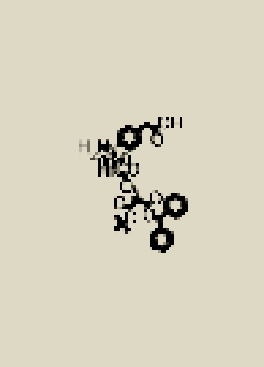 CC(C)(C)OC(=O)[C@H](COC(=O)NS(=O)(=O)N(N)c1ccc(CC(=O)O)cc1)C(=O)OC(c1ccccc1)c1ccccc1